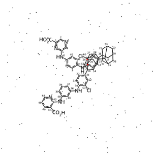 O=C(O)c1cncc(Nc2ccc(Nc3ccc(C45CC6CC(C4)C(C4C7CC8CC4CC(c4ccc(Nc9cccc(Nc%10ncccc%10C(=O)O)c9)c(Cl)c4)(C8)C7)C(C6)C5)cc3Cl)cc2)n1